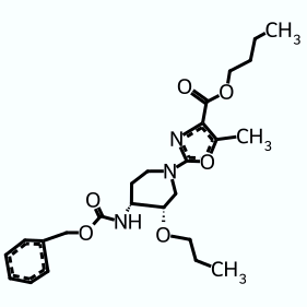 CCCCOC(=O)c1nc(N2CC[C@@H](NC(=O)OCc3ccccc3)[C@@H](OCCC)C2)oc1C